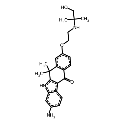 CC(C)(CO)NCCOc1ccc2c(c1)C(C)(C)c1[nH]c3cc(N)ccc3c1C2=O